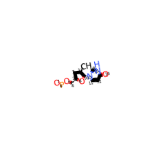 C[C@H]1C[C@@H](COP=O)O[C@H]1N1C=CC(=O)NC1